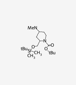 CNC1CCN(C(=O)OC(C)(C)C)C(CO[Si](C)(C)C(C)(C)C)C1